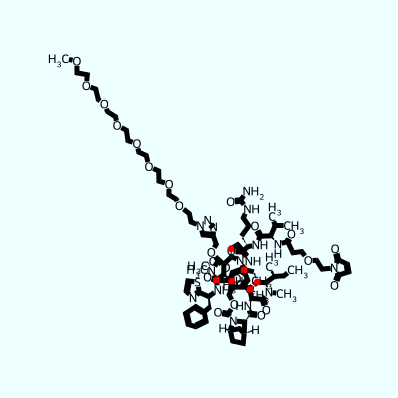 CC[C@H](C)[C@@H]([C@@H](CC(=O)N1CCC[C@H]1[C@H](OC)[C@@H](C)C(=O)N[C@@H](Cc1ccccc1)c1nccs1)OC)N(C)C(=O)[C@@H](NC(=O)[C@@H]1[C@H]2CC[C@H](C2)N1C(=O)OCc1ccc(NC(=O)[C@H](CCCNC(N)=O)NC(=O)[C@@H](NC(=O)CCOCCN2C(=O)C=CC2=O)C(C)C)cc1CN(C)C(=O)OCc1cn(CCOCCOCCOCCOCCOCCOCCOCCOC)nn1)C(C)C